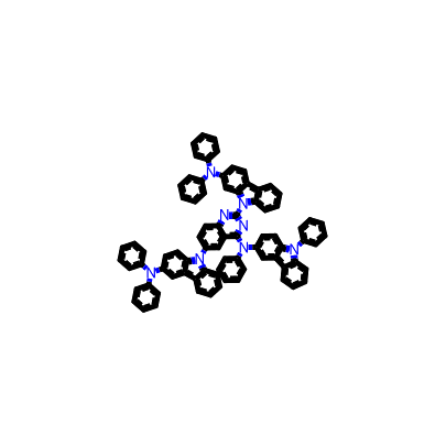 c1ccc(N(c2ccccc2)c2ccc3c(c2)c2ccccc2n3-c2ccc3nc(-n4c5ccccc5c5ccc(N(c6ccccc6)c6ccccc6)cc54)nc(N(c4ccccc4)c4ccc5c(c4)c4ccccc4n5-c4ccccc4)c3c2)cc1